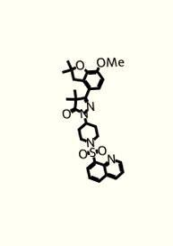 COc1ccc(C2=NN(C3CCN(S(=O)(=O)c4cccc5cccnc45)CC3)C(=O)C2(C)C)c2c1OC(C)(C)C2